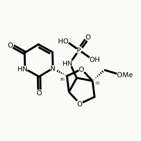 COC[C@]12COC(C1NP(=O)(O)O)[C@H](n1ccc(=O)[nH]c1=O)O2